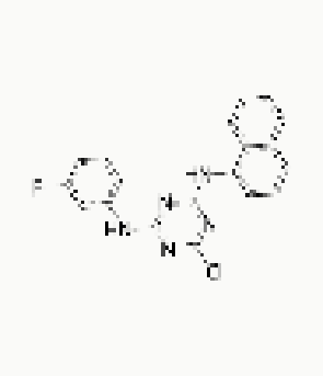 Fc1cccc(Nc2nc(Cl)nc(Nc3cccc4ccccc34)n2)c1